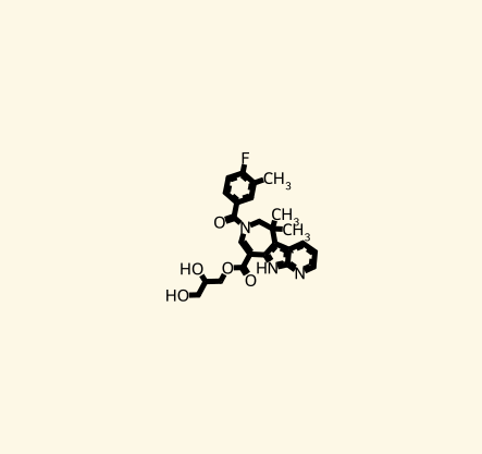 Cc1cc(C(=O)N2C=C(C(=O)OCC(O)CO)c3[nH]c4ncccc4c3C(C)(C)C2)ccc1F